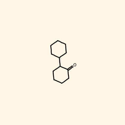 O=C1CCCCC1[C]1CCCCC1